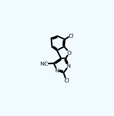 N#Cc1nc(Cl)nc2oc3c(Cl)cccc3c12